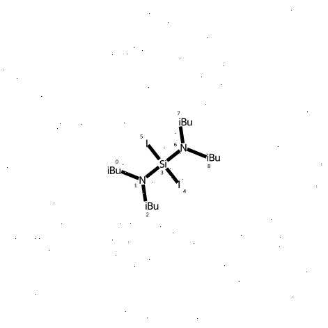 CCC(C)N(C(C)CC)[Si](I)(I)N(C(C)CC)C(C)CC